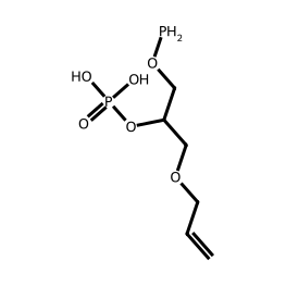 C=CCOCC(COP)OP(=O)(O)O